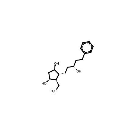 CC[C@@H]1[C@@H](CC[C@@H](O)CCc2ccccc2)[C@H](O)C[C@@H]1O